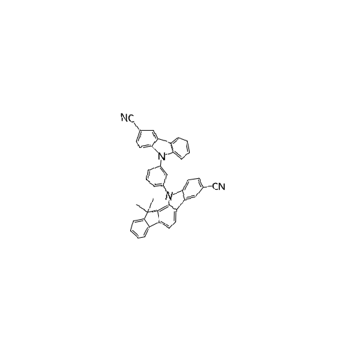 CC1(C)c2ccccc2-c2ccc3c4cc(C#N)ccc4n(-c4cccc(-n5c6ccccc6c6cc(C#N)ccc65)c4)c3c21